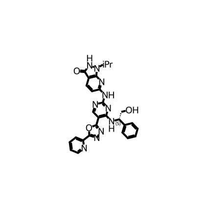 CC(C)n1[nH]c(=O)c2ccc(Nc3ncc(-c4nnc(-c5ccccn5)o4)c(N[C@H](CO)c4ccccc4)n3)nc21